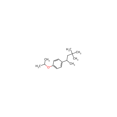 CC(C)Oc1ccc(C(C)CC(C)(C)C)cc1